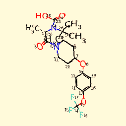 C[C@@H](C(=O)N1CCC(Oc2ccc(OC(F)(F)F)cc2)CC1)N(C(=O)O)C(C)(C)C